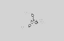 COc1ccc(/C=C/C(=O)C2C(=O)C[C@H](c3ccc(OC)cc3)[C@H]([N+](=O)[O-])[C@H]2c2ccc(OC)c(OC)c2)cc1